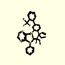 C=CC1(CC)c2ccc(-c3ccccc3C(F)(F)F)cc2N2c3nccnc3N(c3ccccc3)C2C1(C)CC